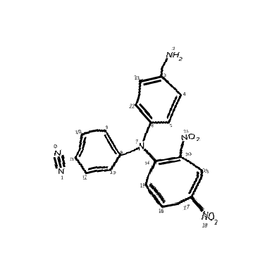 N#N.Nc1ccc(N(c2ccccc2)c2ccc([N+](=O)[O-])cc2[N+](=O)[O-])cc1